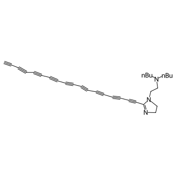 C#CC#CC#CC#CC#CC#CC#CC#CC#CC1=NCCN1CCN(CCCC)CCCC